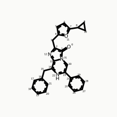 O=c1c(Cc2ccc(C3CC3)o2)nc2c(Cc3ccccc3)[nH]c(-c3ccccc3)cn1-2